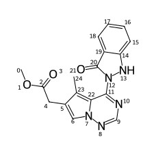 COC(=O)Cc1cn2ncnc(-n3[nH]c4ccccc4c3=O)c2c1C